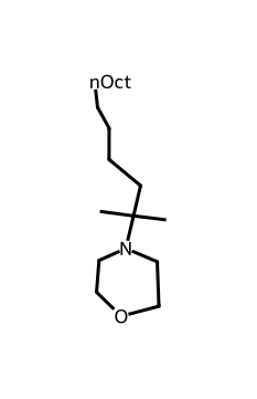 CCCCCCCCCCCCC(C)(C)N1CCOCC1